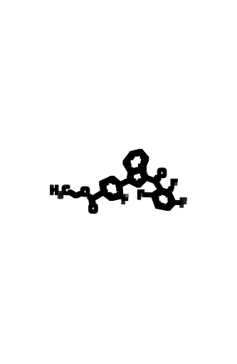 CCOC(=O)c1ccc(-c2cc(C(=O)c3c(F)ccc(F)c3F)n3ccccc23)c(F)c1